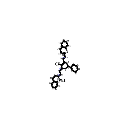 CCN1/C(=C/C=C2\CC(c3ccccc3)CC(/C=C/c3ccc4ccccc4n3)=C2Cl)C=Cc2ccccc21